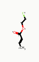 CC=CC(=O)OCCF